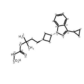 CC(C)(CC[C@H]1C[C@H](n2nc(C3CC3)c3ccccc32)C1)OC(=O)NC(=O)O